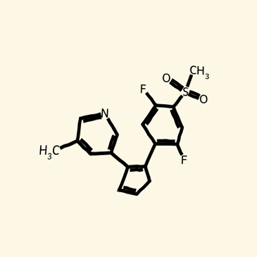 Cc1cncc(C2=C(c3cc(F)c(S(C)(=O)=O)cc3F)CC=C2)c1